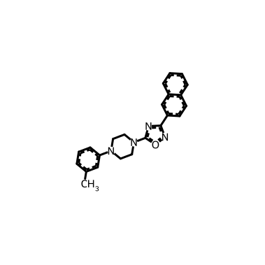 Cc1cccc(N2CCN(c3nc(-c4ccc5ccccc5c4)no3)CC2)c1